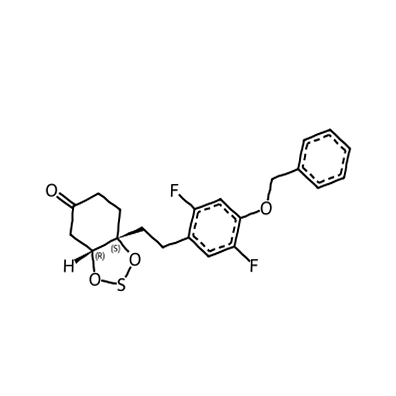 O=C1CC[C@]2(CCc3cc(F)c(OCc4ccccc4)cc3F)OSO[C@@H]2C1